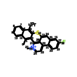 Cc1c2c(c(C(C)C)c3ccccc13)Sc1cc3cc(F)ccc3c3cc[n+](C)c-2c13